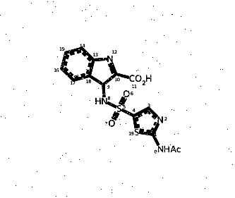 CC(=O)Nc1ncc(S(=O)(=O)NC2C(C(=O)O)=Nc3ccccc32)s1